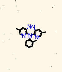 Cc1cnc2c(c1)N=Nc1cc(C)cnc1N2c1ccccc1C